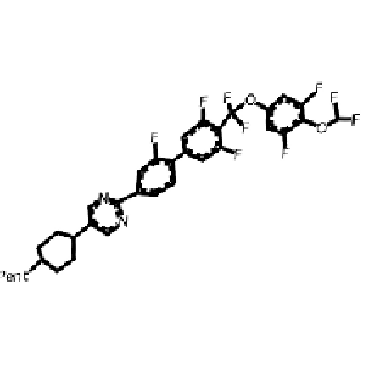 CCCCCC1CCC(c2cnc(-c3ccc(-c4cc(F)c(C(F)(F)Oc5cc(F)c(OC(F)F)c(F)c5)c(F)c4)c(F)c3)nc2)CC1